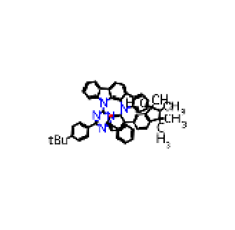 CC1C(C)(C)c2ccc(-c3ccccc3-n3c4ccccc4c4ccc5c6ccccc6n(-c6nc(-c7ccccc7)nc(-c7ccc(C(C)(C)C)cc7)n6)c5c43)cc2C1(C)C